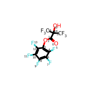 O=C(Oc1c(F)c(F)c(F)c(F)c1F)C(O)(C(F)(F)F)C(F)(F)F